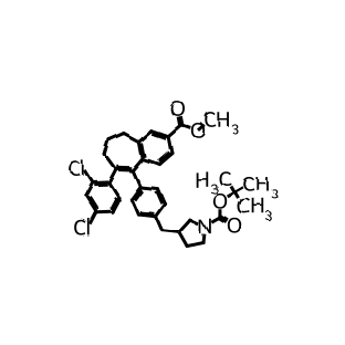 COC(=O)c1ccc2c(c1)CCCC(c1ccc(Cl)cc1Cl)=C2c1ccc(CC2CCN(C(=O)OC(C)(C)C)C2)cc1